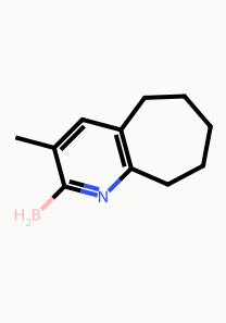 Bc1nc2c(cc1C)CCCCC2